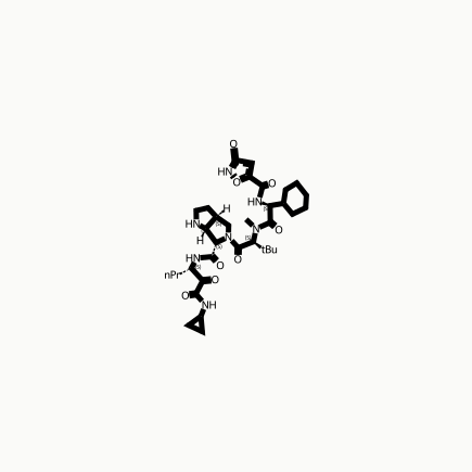 CCC[C@H](NC(=O)[C@@H]1[C@H]2NCC[C@H]2CN1C(=O)[C@@H](N(C)C(=O)[C@@H](NC(=O)c1cc(=O)[nH]o1)C1CCCCC1)C(C)(C)C)C(=O)C(=O)NC1CC1